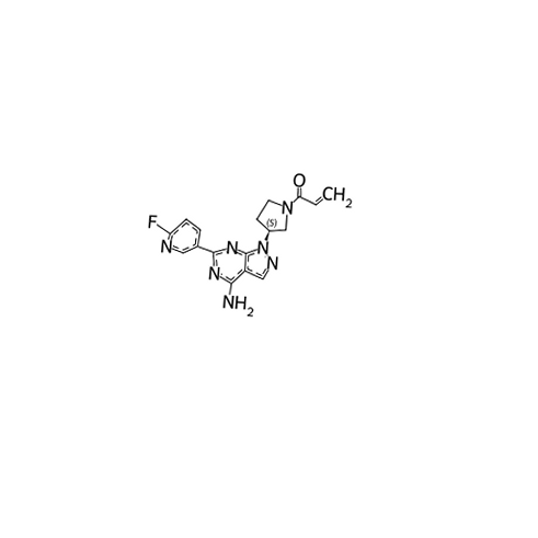 C=CC(=O)N1CC[C@H](n2ncc3c(N)nc(-c4ccc(F)nc4)nc32)C1